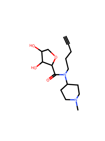 C#CCCCN(C(=O)C1OCC(O)C1O)C1CCN(C)CC1